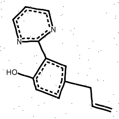 C=CCc1ccc(O)c(-c2ncccn2)c1